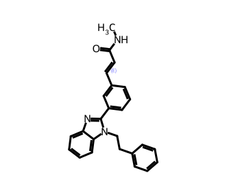 CNC(=O)/C=C/c1cccc(-c2nc3ccccc3n2CCc2ccccc2)c1